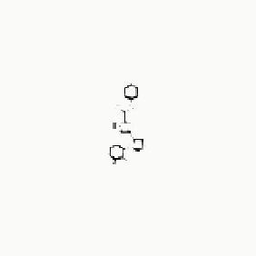 O=C(Nc1ccccc1)c1nc(-c2cncn2-c2cccc(F)c2F)c[nH]1